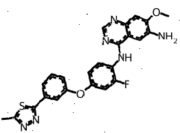 COc1cc2ncnc(Nc3ccc(Oc4cccc(-c5nnc(C)s5)c4)cc3F)c2cc1N